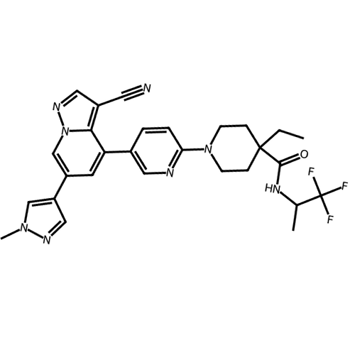 CCC1(C(=O)NC(C)C(F)(F)F)CCN(c2ccc(-c3cc(-c4cnn(C)c4)cn4ncc(C#N)c34)cn2)CC1